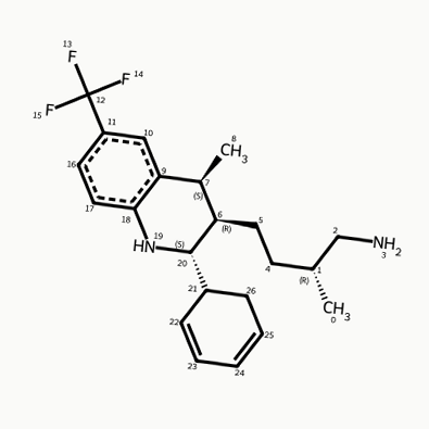 C[C@@H](CN)CC[C@@H]1[C@H](C)c2cc(C(F)(F)F)ccc2N[C@H]1C1C=CC=CC1